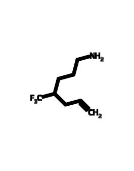 C=CCC(CCCN)C(F)(F)F